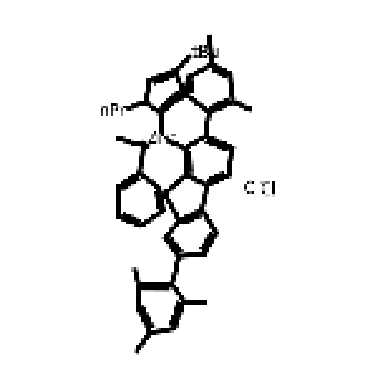 CCCC1C=C(C(C)(C)C)C=[C]1/[Zr+2](=[C](\C)c1ccccc1)[c]1c(-c2c(C)cc(C)cc2C)ccc2c1Cc1cc(-c3c(C)cc(C)cc3C)ccc1-2.[Cl-].[Cl-]